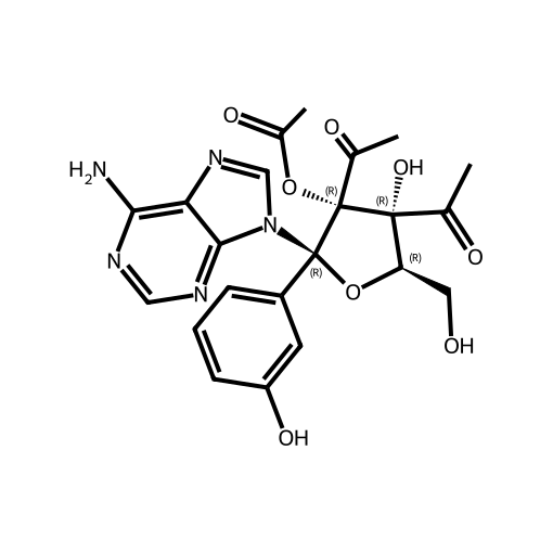 CC(=O)O[C@]1(C(C)=O)[C@@](O)(C(C)=O)[C@@H](CO)O[C@@]1(c1cccc(O)c1)n1cnc2c(N)ncnc21